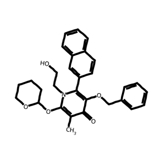 Cc1c(OC2CCCCO2)n(CCO)c(-c2ccc3ccccc3c2)c(OCc2ccccc2)c1=O